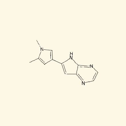 Cc1cc(-c2cc3nccnc3[nH]2)cn1C